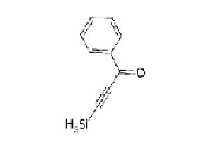 O=C(C#C[SiH3])c1ccccc1